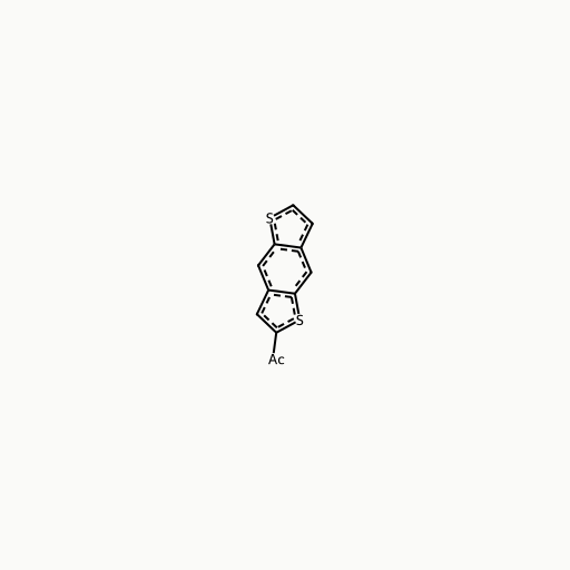 CC(=O)c1cc2cc3sccc3cc2s1